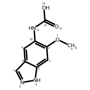 COc1cc2[nH]ncc2cc1NC(=O)O